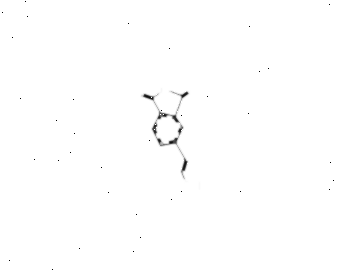 CC=Cc1ccc2c(c1)C(=O)OC2=O